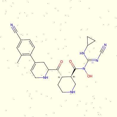 Cc1cc(C#N)ccc1C1=CCNC(C(=O)[C@H]2CCNC[C@@H]2C(=O)N(O)/C(=N/C#N)NC2CC2)C1